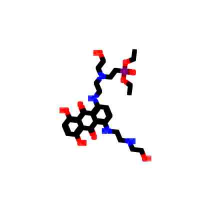 CCOP(=O)(CCN(CCO)CCNc1ccc(NCCNCCO)c2c1C(=O)c1c(O)ccc(O)c1C2=O)OCC